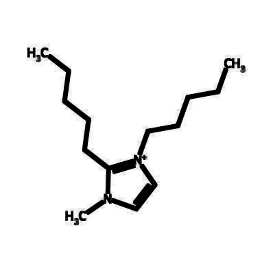 CCCCCc1n(C)cc[n+]1CCCCC